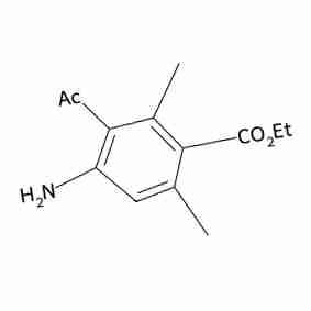 CCOC(=O)c1c(C)cc(N)c(C(C)=O)c1C